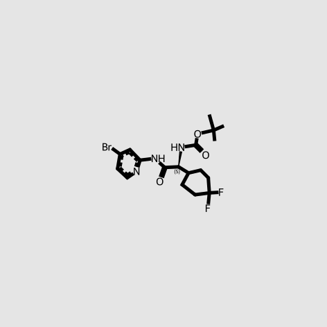 CC(C)(C)OC(=O)N[C@H](C(=O)Nc1cc(Br)ccn1)C1CCC(F)(F)CC1